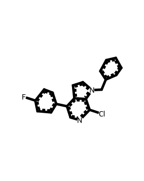 Fc1ccc(-c2cnc(Cl)c3c2ccn3Cc2ccccc2)cc1